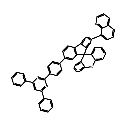 c1ccc(-c2cc(-c3ccccc3)nc(-c3ccc(-c4ccc5c(c4)C4(c6ccccc6Sc6ccccc64)c4cc(-c6cccc7cccnc67)ccc4-5)cc3)n2)cc1